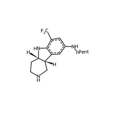 CCCCCNc1cc2c(c(C(F)(F)F)c1)N[C@H]1CCNC[C@@H]21